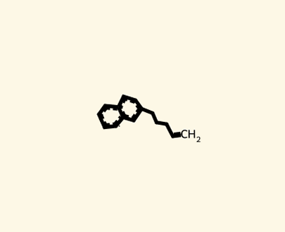 C=CCCCc1ccc2ccc[c]c2c1